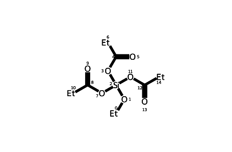 CCO[Si](OC(=O)CC)(OC(=O)CC)OC(=O)CC